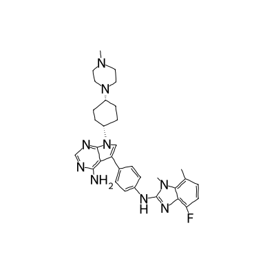 Cc1ccc(F)c2nc(Nc3ccc(-c4cn([C@H]5CC[C@@H](N6CCN(C)CC6)CC5)c5ncnc(N)c45)cc3)n(C)c12